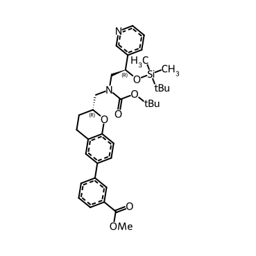 COC(=O)c1cccc(-c2ccc3c(c2)CC[C@H](CN(C[C@H](O[Si](C)(C)C(C)(C)C)c2cccnc2)C(=O)OC(C)(C)C)O3)c1